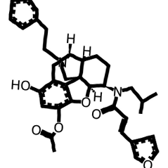 CC(=O)Oc1cc(O)c2c3c1O[C@@H]1[C@H](N(CC(C)C)C(=O)C=Cc4ccoc4)CC[C@H]4[C@@H](C2)N(CCc2ccccc2)CC[C@]314